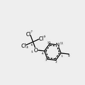 Cc1ccc(OC(Cl)(Cl)Cl)cn1